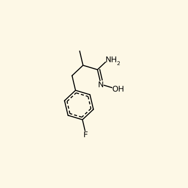 CC(Cc1ccc(F)cc1)C(N)=NO